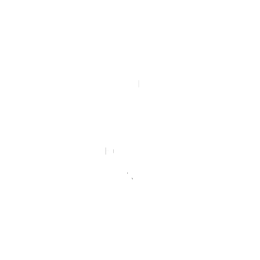 CC/C(=C\c1ccc(O)cc1)N=O